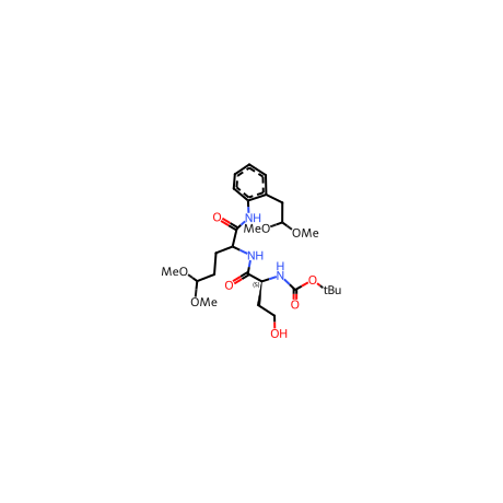 COC(CCC(NC(=O)[C@H](CCO)NC(=O)OC(C)(C)C)C(=O)Nc1ccccc1CC(OC)OC)OC